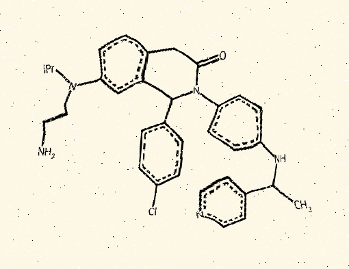 CC(Nc1ccc(N2C(=O)Cc3ccc(N(CCN)C(C)C)cc3C2c2ccc(Cl)cc2)cc1)c1ccncc1